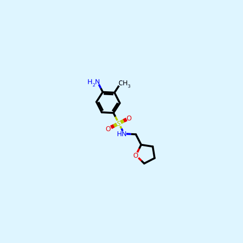 Cc1cc(S(=O)(=O)NCC2CCCO2)ccc1N